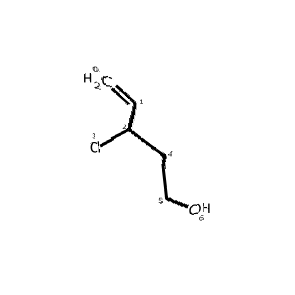 C=CC(Cl)CCO